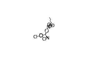 CCCCS(=O)(=O)ON=C1C=CC(=C(C#N)c2ccc(Cl)cc2Cl)C=C1